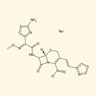 CON=C(C(=O)NC1C(=O)N2C(C(=O)[O-])=C(C=Cc3cscn3)CS[C@@H]12)c1csc(N)n1.[Na+]